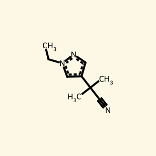 CCn1cc(C(C)(C)C#N)cn1